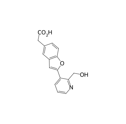 O=C(O)Cc1ccc2oc(-c3cccnc3CO)cc2c1